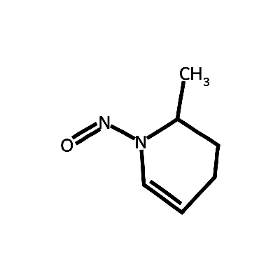 CC1CCC=CN1N=O